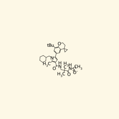 Cc1c(C(=O)NCC(C)(C)C(=O)N[S+](C)[O-])cc(-c2cc(C(C)(C)C)c3c(c2)C2(CCO3)CC2)n1CC1CCCCC1